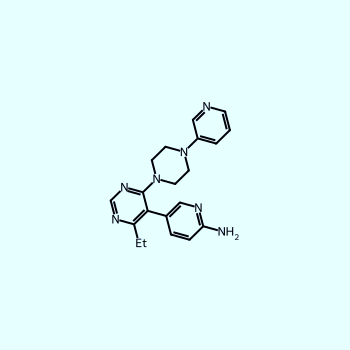 CCc1ncnc(N2CCN(c3cccnc3)CC2)c1-c1ccc(N)nc1